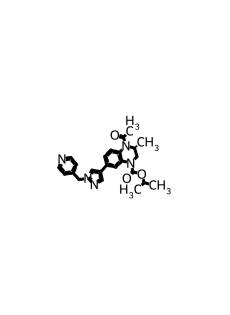 CC(=O)N1c2ccc(-c3cnn(Cc4ccncc4)c3)cc2N(C(=O)OC(C)C)C[C@@H]1C